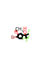 COc1cc(C(O)(CF)C(F)(F)F)ccc1Br